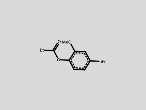 CCCc1ccc(OC(=O)CC)c(OC)c1